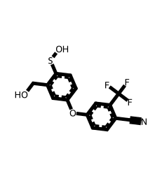 N#Cc1ccc(Oc2ccc(SO)c(CO)c2)cc1C(F)(F)F